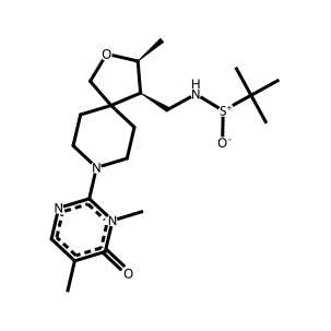 Cc1cnc(N2CCC3(CC2)CO[C@@H](C)[C@H]3CN[S+]([O-])C(C)(C)C)n(C)c1=O